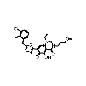 CCN1CN(CCCOC)C(=O)c2c(O)c(=O)c(-c3nnc(Cc4cccc(Cl)c4F)s3)cn21